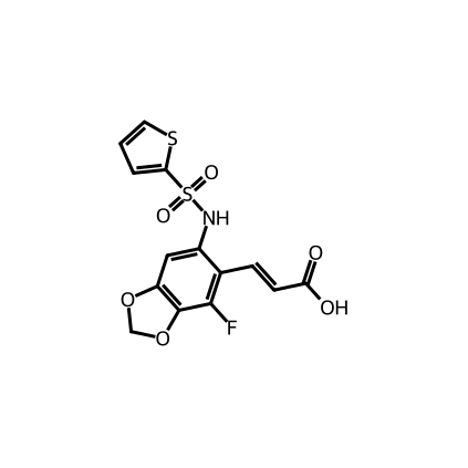 O=C(O)C=Cc1c(NS(=O)(=O)c2cccs2)cc2c(c1F)OCO2